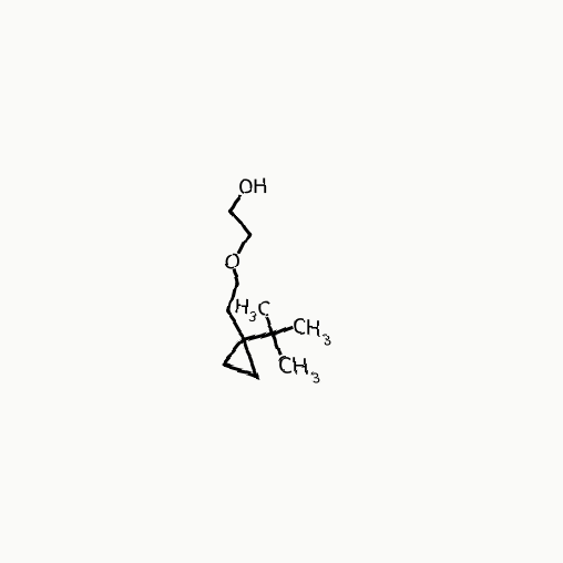 CC(C)(C)C1(CCOCCO)CC1